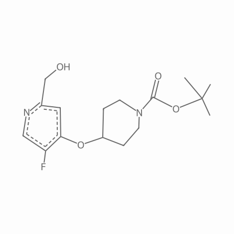 CC(C)(C)OC(=O)N1CCC(Oc2cc(CO)ncc2F)CC1